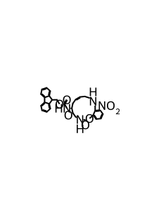 O=C(N[C@H]1CC=CCCNCc2c(cccc2[N+](=O)[O-])OC(=O)NCC1=O)OCC1c2ccccc2-c2ccccc21